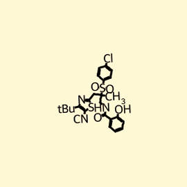 CC(C)(C)c1nc(CC(C)(CNC(=O)c2ccccc2O)S(=O)(=O)c2ccc(Cl)cc2)sc1C#N